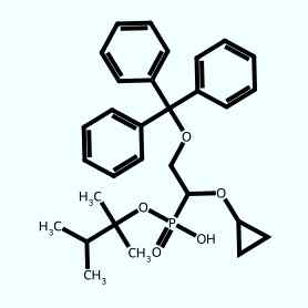 CC(C)C(C)(C)OP(=O)(O)C(COC(c1ccccc1)(c1ccccc1)c1ccccc1)OC1CC1